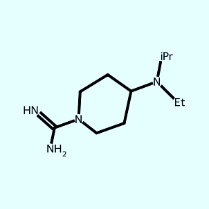 CCN(C(C)C)C1CCN(C(=N)N)CC1